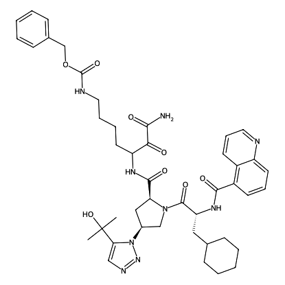 CC(C)(O)c1cnnn1[C@H]1C[C@@H](C(=O)NC(CCCCNC(=O)OCc2ccccc2)C(=O)C(N)=O)N(C(=O)[C@@H](CC2CCCCC2)NC(=O)c2cccc3ncccc23)C1